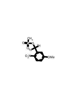 [2H]C([2H])(OS(C)(=O)=O)c1cc(OC)ccc1[N+](=O)[O-]